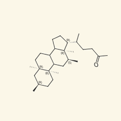 CC(=O)CCC(C)[C@H]1CCC2C3CC[C@]4(C)C[C@H](C)CC[C@]4(C)C3C[C@H](C)[C@@]21C